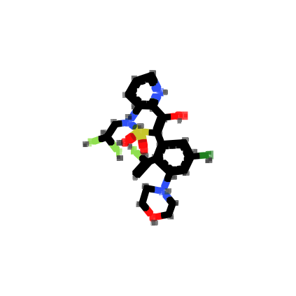 C=C(F)c1c(C2=C(O)c3ncccc3N(CC(F)F)S2(=O)=O)cc(Cl)cc1N1CCOCC1